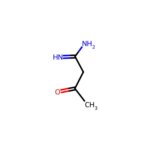 CC(=O)CC(=N)N